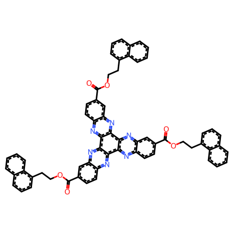 O=C(OCCc1cccc2ccccc12)c1ccc2nc3c4nc5ccc(C(=O)OCCc6cccc7ccccc67)cc5nc4c4nc5cc(C(=O)OCCc6cccc7ccccc67)ccc5nc4c3nc2c1